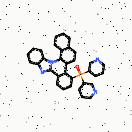 O=P(c1cccnc1)(c1cccnc1)c1cccc2c1c1ccc3ccccc3c1n1c3ccccc3nc21